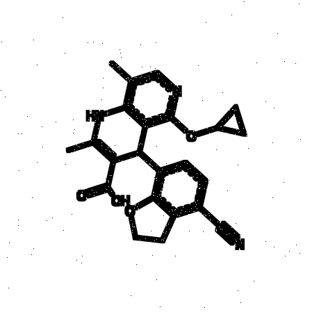 CC1=C(C(=O)O)C(c2ccc(C#N)c3c2OCC3)c2c(OC3CC3)ncc(C)c2N1